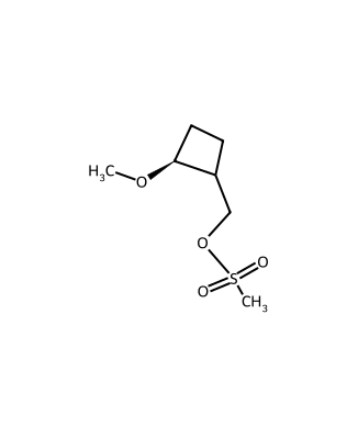 CO[C@H]1CCC1COS(C)(=O)=O